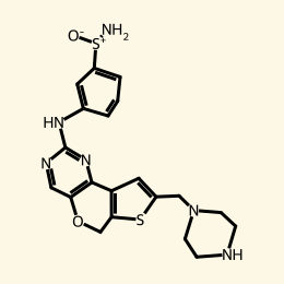 N[S+]([O-])c1cccc(Nc2ncc3c(n2)-c2cc(CN4CCNCC4)sc2CO3)c1